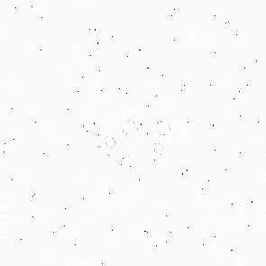 CCS(=O)(=O)c1ccc(CNC(=O)N2C[C@@H](c3ccccc3)[C@H](c3cc(C4CC4)nn3C(C)C)C2)cc1